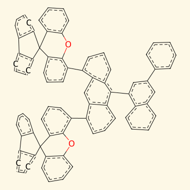 c1ccc(-c2cc(-c3c4cccc(-c5cccc6c5Oc5ccccc5C65c6ccccc6-c6ccccc65)c4cc4c(-c5cccc6c5Oc5ccccc5C65c6ccccc6-c6ccccc65)cccc34)c3ccccc3c2)cc1